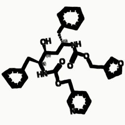 O=C(N[C@@H](Cc1ccccc1)C[C@H](O)[C@H](Cc1ccccc1)NC(=O)OCc1cccnc1)OCc1ccoc1